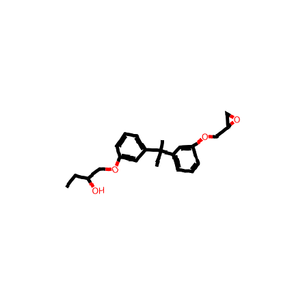 CCC(O)COc1cccc(C(C)(C)c2cccc(OCC3CO3)c2)c1